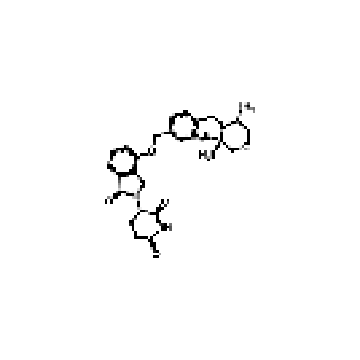 BC1COCC(B)(B)N1Cc1ccc(COc2cccc3c2CN(C2CCC(=O)NC2=O)C3=O)cc1